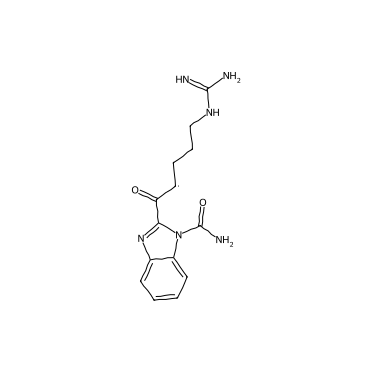 N=C(N)NCCC[CH]C(=O)c1nc2ccccc2n1C(N)=O